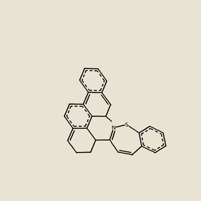 CC1C=c2ccccc2=c2ccc3c(c21)C(C1=NSc2ccccc2C=C1)CCC=3